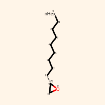 CCCCCCCCCCCCCC[C@H]1CO1